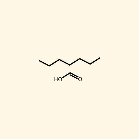 CCCCCCC.O=CO